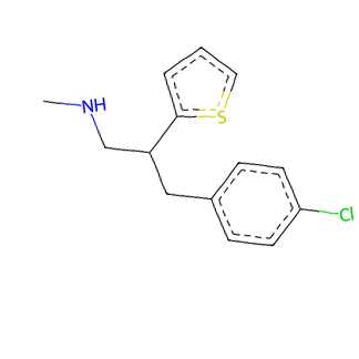 CNCC(Cc1ccc(Cl)cc1)c1cccs1